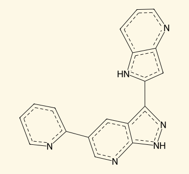 c1ccc(-c2cnc3[nH]nc(-c4cc5ncccc5[nH]4)c3c2)nc1